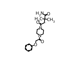 CC(C)([CH]C(=O)N1CCN(C(=O)COc2ccccc2)CC1)C(N)=O